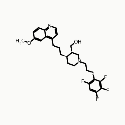 COc1ccc2nccc(CCC[C@@H]3CCN(CCSc4c(F)cc(F)c(F)c4F)C[C@@H]3CO)c2c1